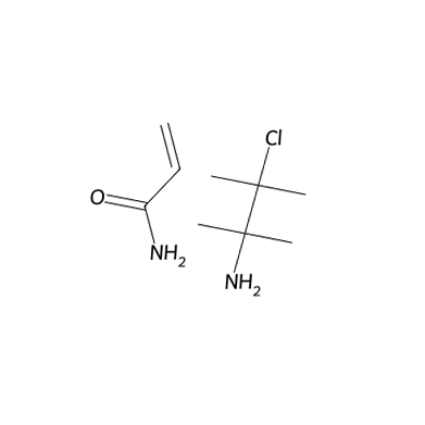 C=CC(N)=O.CC(C)(N)C(C)(C)Cl